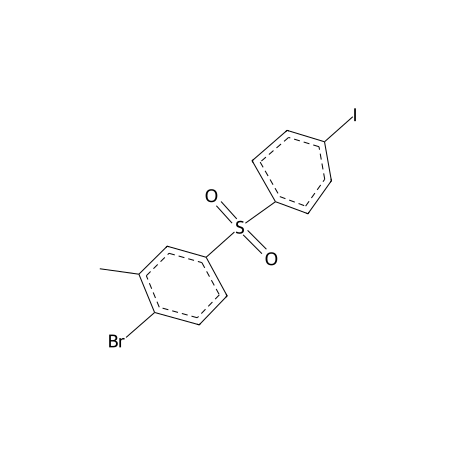 Cc1cc(S(=O)(=O)c2ccc(I)cc2)ccc1Br